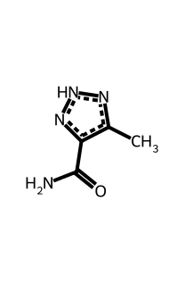 Cc1n[nH]nc1C(N)=O